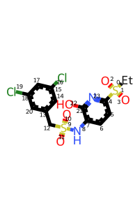 CCS(=O)(=O)c1ccc(NS(=O)(=O)Cc2cc(Cl)cc(Cl)c2)c(O)n1